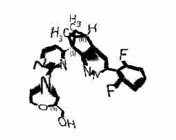 CC1(C)[C@H]2CC[C@]1(c1ccnc(N3CCO[C@H](CO)C3)n1)c1nnc(-c3c(F)cccc3F)cc12